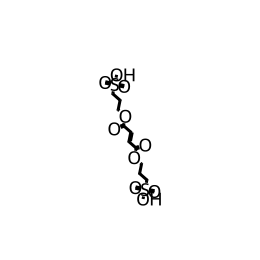 O=C(/C=C/C(=O)OCCCS(=O)(=O)O)OCCCS(=O)(=O)O